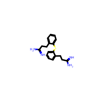 N=C(N)CCc1ccccc1Sc1ccccc1CCC(=N)N